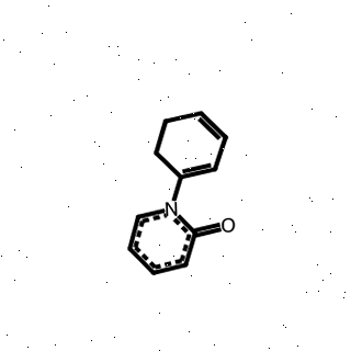 O=c1ccccn1C1=CC=CCC1